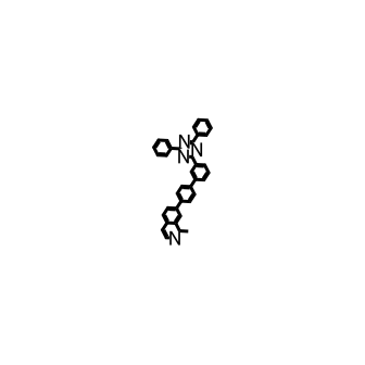 Cc1nccc2ccc(-c3ccc(-c4cccc(-c5nc(-c6ccccc6)nc(-c6ccccc6)n5)c4)cc3)cc12